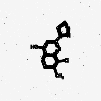 Cc1ccc2c(O)cc(-n3cccn3)nc2c1Cl